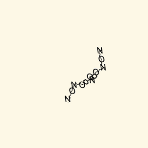 CN(C)CCCCOCCN(C)CCCOc1ccc(-c2nc3ccc(OCCCN(C)CCCOCCCN(C)C)cc3o2)cc1